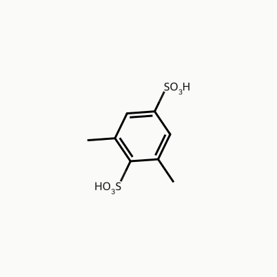 Cc1cc(S(=O)(=O)O)cc(C)c1S(=O)(=O)O